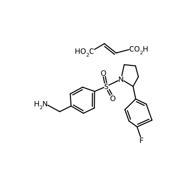 NCc1ccc(S(=O)(=O)N2CCCC2c2ccc(F)cc2)cc1.O=C(O)/C=C/C(=O)O